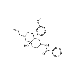 C=CCN1CC[C@@]2(c3cccc(OC)c3)C[C@H](NC(=O)c3ccccc3)CC[C@]2(O)C1